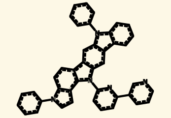 c1ccc(-n2ccc3c2ccc2c4cc5c(cc4n(-c4cccc(-c6cccnc6)n4)c23)c2ccccc2n5-c2ccccc2)cc1